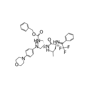 CC(C)C[C@H](N[C@@H](c1ccccc1)C(F)(F)F)C(=O)N[C@@H](CNC(=O)OCc1ccccc1)CNc1ccc(N2CCOCC2)cc1